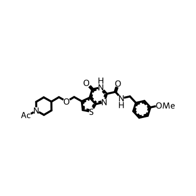 COc1cccc(CNC(=O)c2nc3scc(COCC4CCN(C(C)=O)CC4)c3c(=O)[nH]2)c1